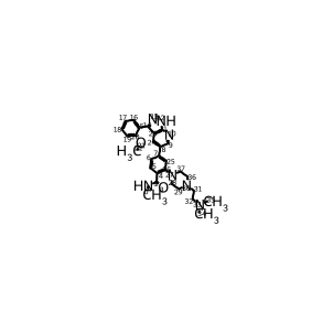 CNC(=O)c1ccc(-c2cnc3[nH]nc(-c4ccccc4OC)c3c2)cc1N1CCN(CCN(C)C)CC1